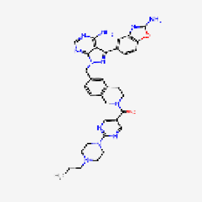 CCCN1CCN(c2ncc(C(=O)N3CCc4cc(Cn5nc(-c6ccc7oc(N)nc7c6)c6c(N)ncnc65)ccc4C3)cn2)CC1